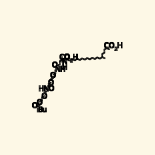 CCC(C)C(=O)COCCOCCNC(=O)COCCOCCNC(=O)CC[C@H](NC(=O)CCCCCCCCCCCCCC(C)CCCC(C)C(=O)O)C(=O)O